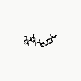 C=CC(=O)N1CCN(Cn2cnc([C@H](C)Nc3nc(C)nc(N4C(=O)OC[C@@H]4CC)n3)c2)CC1